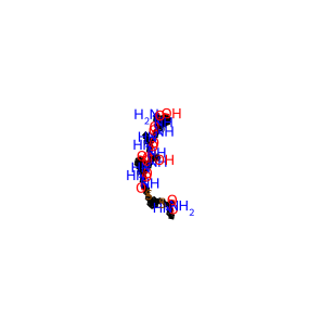 CCCC(=O)N[C@@H](CSCc1cccc(CSCCC(=O)NCC(=O)N[C@@H](Cc2ccc(O)cc2)C(=O)NCC(=O)N[C@H](C(=O)NCC(=O)N[C@@H](CCC)C(=O)NCC(=O)N[C@@H](Cc2ccc(O)cc2)C(=O)NCC(N)=O)[C@@H](C)O)c1)C(N)=O